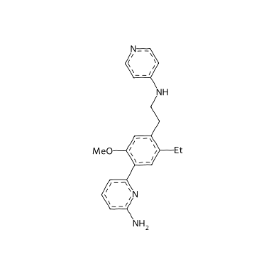 CCc1cc(-c2cccc(N)n2)c(OC)cc1CCNc1ccncc1